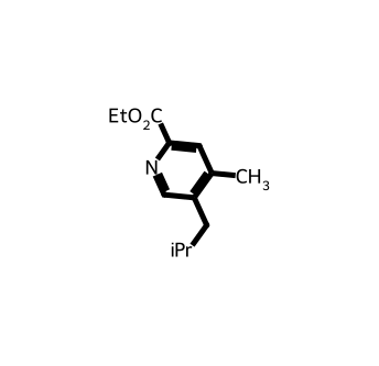 CCOC(=O)c1cc(C)c(CC(C)C)cn1